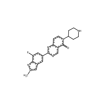 Cn1cc2cc(-c3ncc4c(=O)n(C5CCNCC5)ccc4n3)cc(F)c2n1